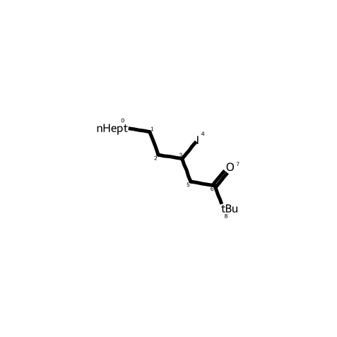 CCCCCCCCCC(I)CC(=O)C(C)(C)C